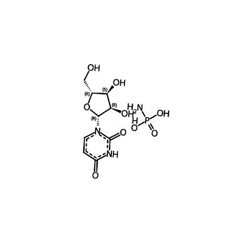 NP(=O)(O)O.O=c1ccn([C@@H]2O[C@H](CO)[C@@H](O)[C@H]2O)c(=O)[nH]1